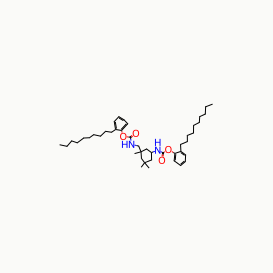 CCCCCCCCCCc1ccccc1OC(=O)NCC1(C)CC(NC(=O)Oc2ccccc2CCCCCCCCCC)CC(C)(C)C1